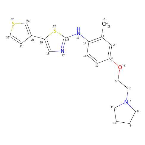 FC(F)(F)c1cc(OCCN2CCCC2)ccc1Nc1ncc(-c2ccsc2)s1